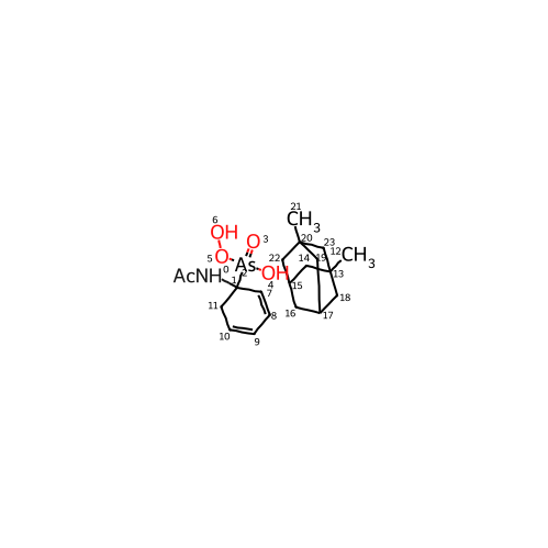 CC(=O)NC1([As](=O)(O)OO)C=CC=CC1.CC12CC3CC(C1)CC(C)(C3)C2